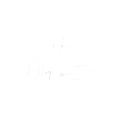 C1C2CC3CC1CC(N1CC[NH+](C45CC6CC(CC(C6)C4)C5)C1)(C2)C3.F[B-](F)(F)F